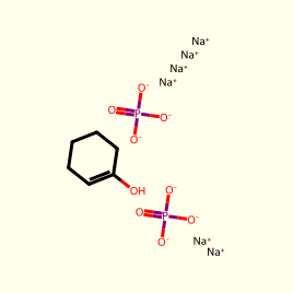 O=P([O-])([O-])[O-].O=P([O-])([O-])[O-].OC1=CCCCC1.[Na+].[Na+].[Na+].[Na+].[Na+].[Na+]